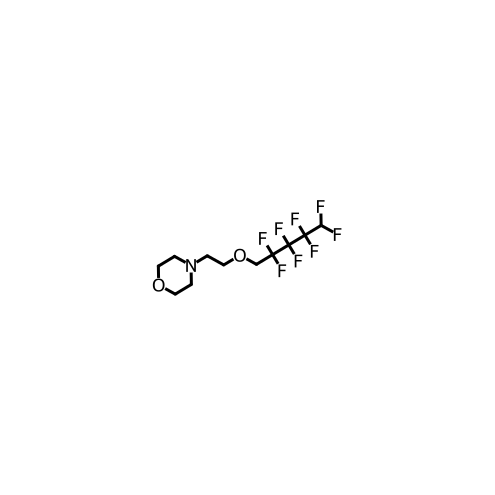 FC(F)C(F)(F)C(F)(F)C(F)(F)COCCN1CCOCC1